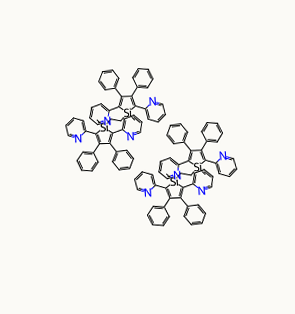 C[Si]1(CC[Si]2(C)C(c3ccccn3)=C(c3ccccc3)C(c3ccccc3)=C2c2ccccn2)C(c2ccccn2)=C(c2ccccc2)C(c2ccccc2)=C1c1ccccn1.C[Si]1(CC[Si]2(C)C(c3ccccn3)=C(c3ccccc3)C(c3ccccc3)=C2c2ccccn2)C(c2ccccn2)=C(c2ccccc2)C(c2ccccc2)=C1c1ccccn1